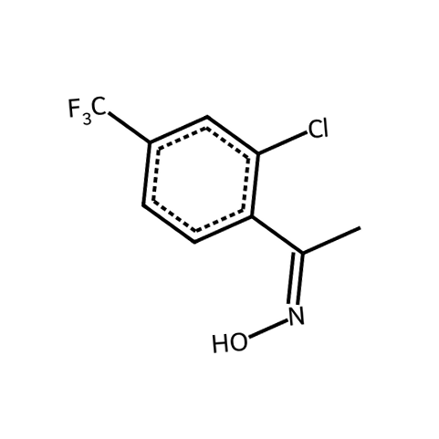 C/C(=N/O)c1ccc(C(F)(F)F)cc1Cl